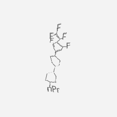 CCC[C@H]1CC[C@H]([C@H]2CC[C@H](c3cc(F)c(C(F)=C(F)F)c(F)c3)CC2)CC1